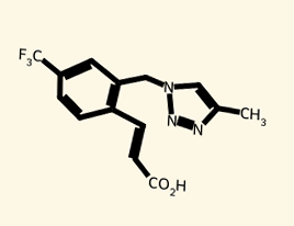 Cc1cn(Cc2cc(C(F)(F)F)ccc2C=CC(=O)O)nn1